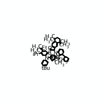 CCC(C)(C)c1cc2c(cc1C(C)C)N(c1ccc(C(C)(C)C)cc1)c1cc(C)cc3c1B2c1oc2cc4c(cc2c1N3c1cccc(-c2ccccc2)c1[SiH](C)C)C(C)(C)CCC4(C)C